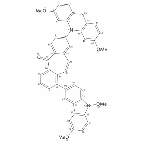 COc1ccc2c(c1)N(c1ccc3c(=O)c4cccc(-c5ccc6c(c5)c5cc(OC)ccc5n6OC)c4ccc3c1)c1cc(OC)ccc1S2